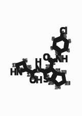 O=C(Nc1ccc(Cl)cc1)c1c(NC(O)C2CCN2)sc2c1CCC2